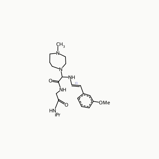 COc1cccc(/C=C/NC(C(=O)NCC(=O)NC(C)C)N2CCCN(C)CC2)c1